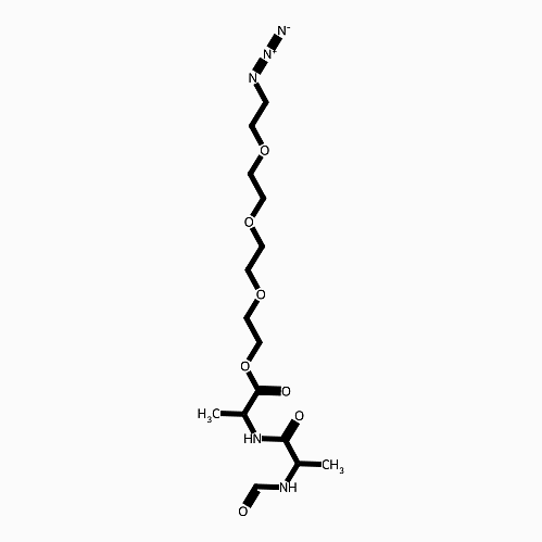 CC(NC=O)C(=O)NC(C)C(=O)OCCOCCOCCOCCN=[N+]=[N-]